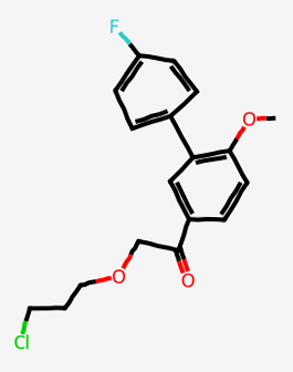 COc1ccc(C(=O)COCCCCl)cc1-c1ccc(F)cc1